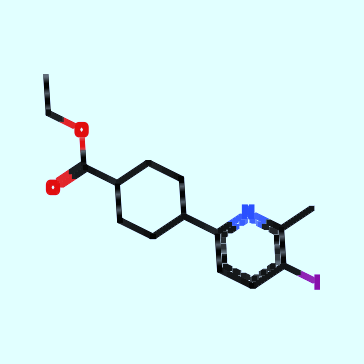 CCOC(=O)C1CCC(c2ccc(I)c(C)n2)CC1